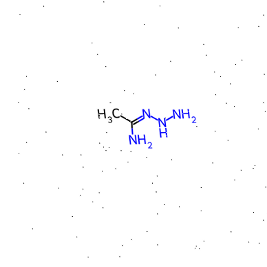 C/C(N)=N/NN